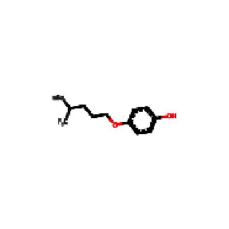 CCCCC(CCCOc1ccc(O)cc1)C(F)(F)F